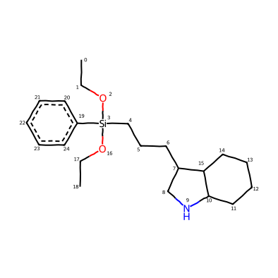 CCO[Si](CCCC1CNC2CCCCC12)(OCC)c1ccccc1